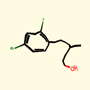 CC(CO)Cc1ccc(Br)cc1F